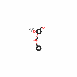 COc1cc(C=O)ccc1OCC(=O)OCc1ccccc1